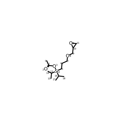 CC(=O)O[Si](CCCOCC1CO1)(C(C)C)C(C)C